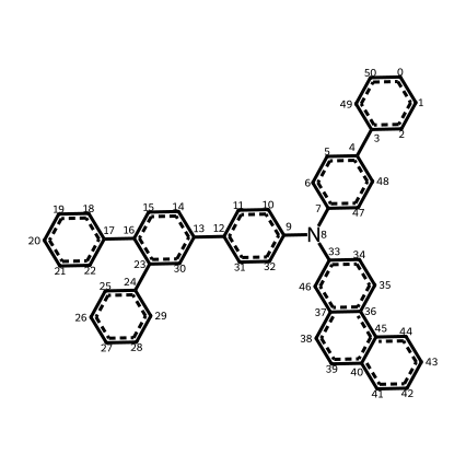 c1ccc(-c2ccc(N(c3ccc(-c4ccc(-c5ccccc5)c(-c5ccccc5)c4)cc3)c3ccc4c(ccc5ccccc54)c3)cc2)cc1